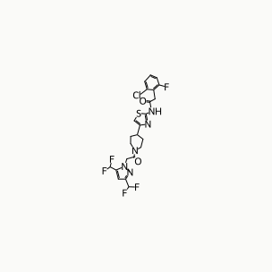 O=C(Cc1c(F)cccc1Cl)Nc1nc(C2CCN(C(=O)Cn3nc(C(F)F)cc3C(F)F)CC2)cs1